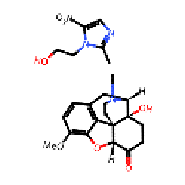 COc1ccc2c3c1O[C@H]1C(=O)CC[C@@]4(O)[C@@H](C2)N(C)CC[C@]314.Cc1ncc([N+](=O)[O-])n1CCO